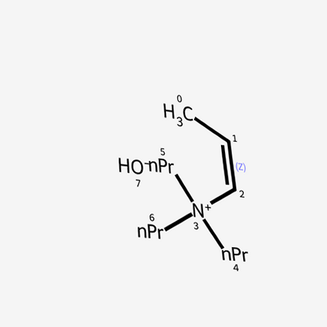 C/C=C\[N+](CCC)(CCC)CCC.[OH-]